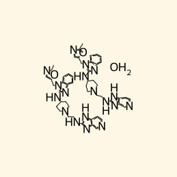 Cc1ncc(Cn2c(NC3CCN(CCNc4nc5cnccc5[nH]4)CC3)nc3ccccc32)o1.Cc1ncc(Cn2c(NC3CCN(CCNc4nc5cnccc5[nH]4)CC3)nc3ccccc32)o1.O